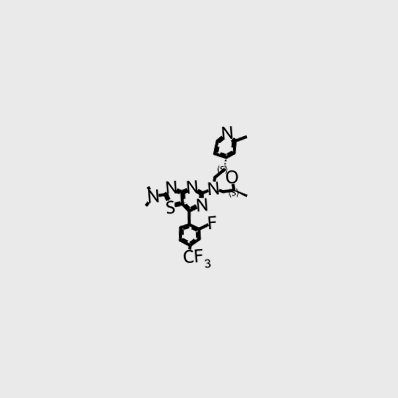 Cc1cc([C@H]2CN(c3nc(-c4ccc(C(F)(F)F)cc4F)c4sc(N(C)C)nc4n3)C[C@H](C)O2)ccn1